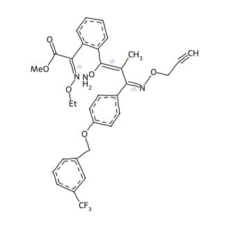 C#CCO/N=C(\C(C)=C(/ON)c1ccccc1/C(=N/OCC)C(=O)OC)c1ccc(OCc2cccc(C(F)(F)F)c2)cc1